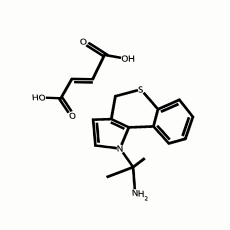 CC(C)(N)n1ccc2c1-c1ccccc1SC2.O=C(O)/C=C/C(=O)O